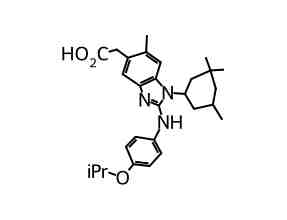 Cc1cc2c(cc1CC(=O)O)nc(Nc1ccc(OC(C)C)cc1)n2C1CC(C)CC(C)(C)C1